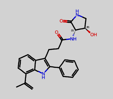 C=C(C)c1cccc2c(CCC(=O)N[C@@H]3C(=O)NC[C@H]3O)c(-c3ccccc3)[nH]c12